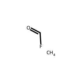 C.O=CF